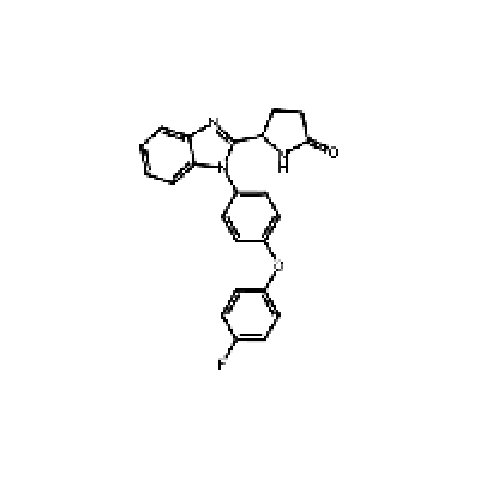 O=C1CCC(c2nc3ccccc3n2-c2ccc(Oc3ccc(F)cc3)cc2)N1